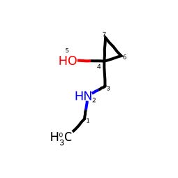 CCNCC1(O)CC1